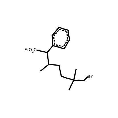 CCOC(=O)C(c1ccccc1)C(C)CCC(C)(C)CC(C)C